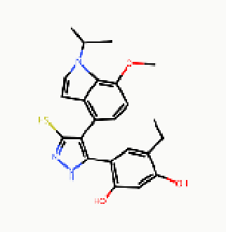 CCc1cc(-c2[nH]nc(S)c2-c2ccc(OC)c3c2ccn3C(C)C)c(O)cc1O